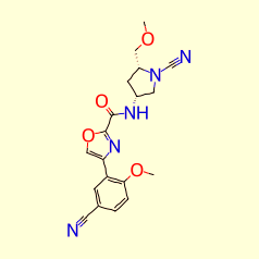 COC[C@H]1C[C@@H](NC(=O)c2nc(-c3cc(C#N)ccc3OC)co2)CN1C#N